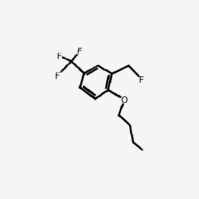 CCCCOc1ccc(C(F)(F)F)cc1CF